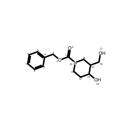 O=C(OCc1ccccc1)N1CCC(O)C(CO)C1